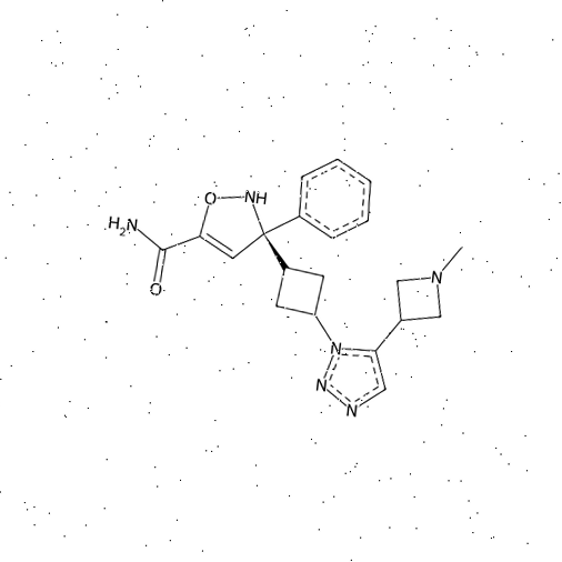 CN1CC(c2cnnn2C2CC([C@@]3(c4ccccc4)C=C(C(N)=O)ON3)C2)C1